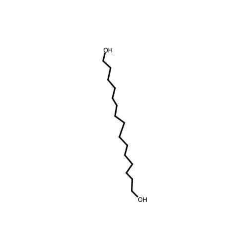 OCCCCCCCCCCCCCCCO